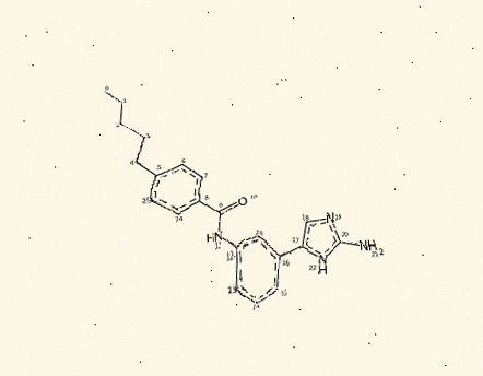 CCCCCc1ccc(C(=O)Nc2cccc(-c3cnc(N)[nH]3)c2)cc1